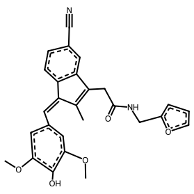 COc1cc(C=C2C(C)=C(CC(=O)NCc3ccco3)c3cc(C#N)ccc32)cc(OC)c1O